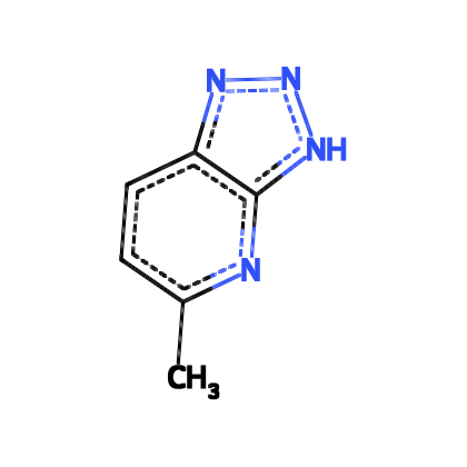 Cc1ccc2nn[nH]c2n1